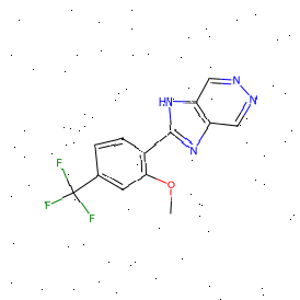 COc1cc(C(F)(F)F)ccc1-c1nc2cnncc2[nH]1